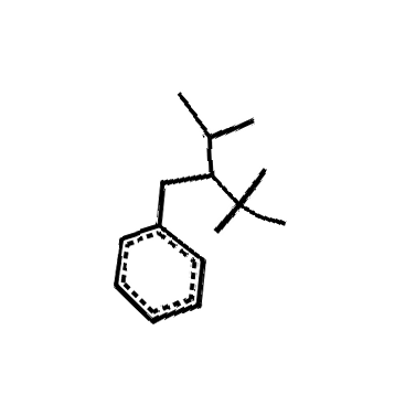 C[C](C)C(Cc1ccccc1)C(C)(C)C